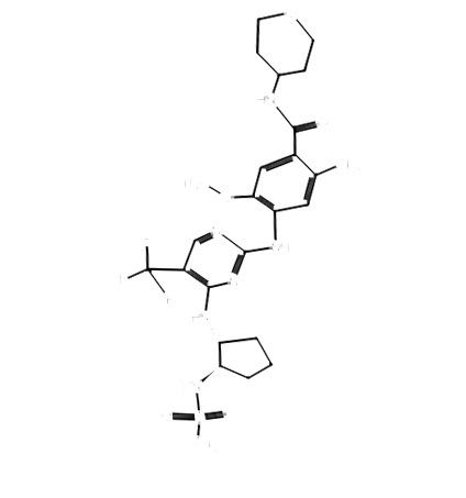 COc1cc(C(=O)NC2CCOCC2)c(C)cc1Nc1ncc(C(F)(F)F)c(N[C@@H]2CCC[C@H]2NS(C)(=O)=O)n1